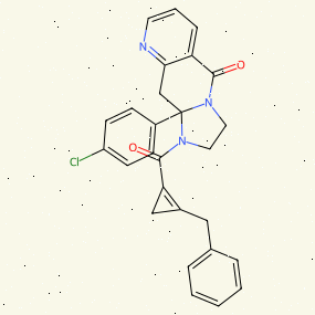 O=C(C1=C(Cc2ccccc2)C1)N1CCN2C(=O)c3cccnc3CC12c1ccc(Cl)cc1